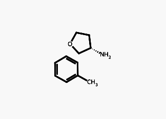 Cc1ccccc1.N[C@H]1CCOC1